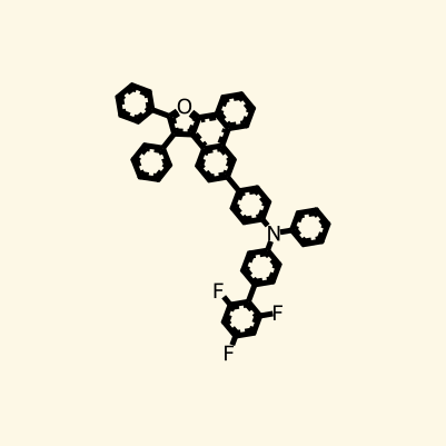 Fc1cc(F)c(-c2ccc(N(c3ccccc3)c3ccc(-c4ccc5c(c4)c4ccccc4c4oc(-c6ccccc6)c(-c6ccccc6)c54)cc3)cc2)c(F)c1